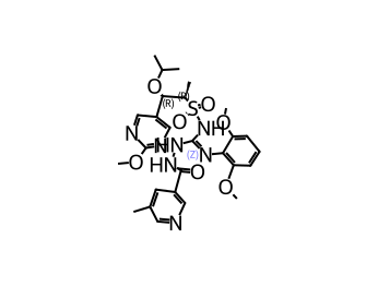 COc1ncc([C@@H](OC(C)C)[C@@H](C)S(=O)(=O)N/C(=N\c2c(OC)cccc2OC)NNC(=O)c2cncc(C)c2)cn1